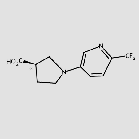 O=C(O)[C@@H]1CCN(c2ccc(C(F)(F)F)nc2)C1